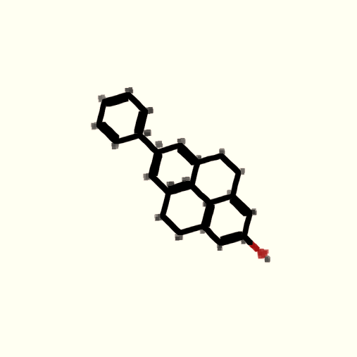 Brc1cc2c3c(c1)CCc1cc(-c4ccccc4)cc(c1-3)CC2